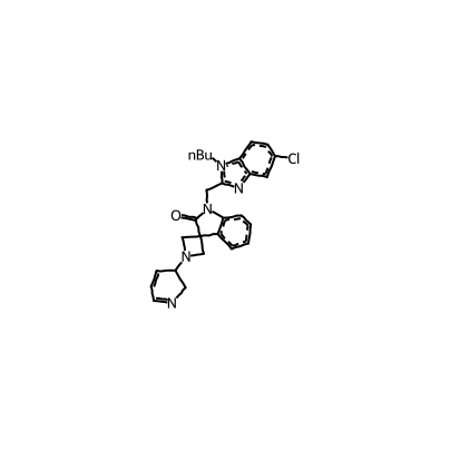 CCCCn1c(CN2C(=O)C3(CN(C4C=CC=NC4)C3)c3ccccc32)nc2cc(Cl)ccc21